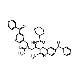 NC1=Nc2ccc(C(=O)c3ccccc3)cc2CN1CC(NC(=O)C1CCCCC1)N1Cc2cc(C(=O)c3ccccc3)ccc2N=C1N